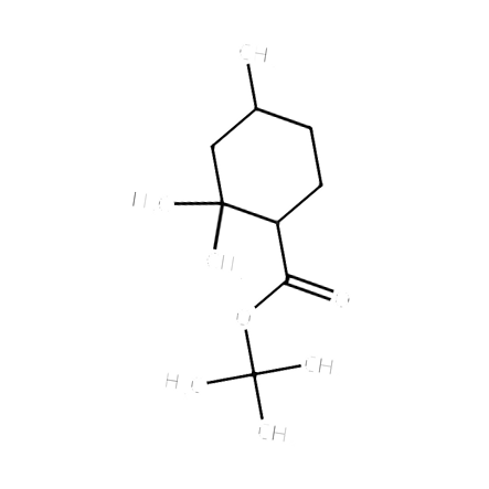 CC1CCC(C(=O)OC(C)(C)C)C(C)(C)C1